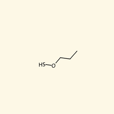 CCCOS